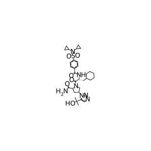 CC(C)(O)c1cnnn1C1CC(C(N)=O)N(C(=O)[C@@H](CC2CCCCC2)NC(=O)c2ccc(S(=O)(=O)N(C3CC3)C3CC3)cc2)C1